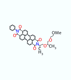 COCCOCC(C)OCC(C)N1C(=O)c2ccc3c4ccc5c6c(ccc(c7ccc(c2c37)C1=O)c64)C(=O)N(c1ccccc1)C5=O